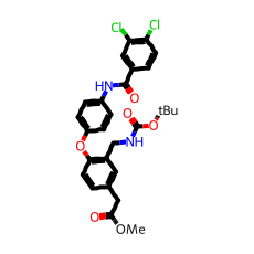 COC(=O)Cc1ccc(Oc2ccc(NC(=O)c3ccc(Cl)c(Cl)c3)cc2)c(CNC(=O)OC(C)(C)C)c1